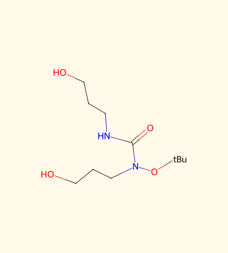 CC(C)(C)ON(CCCO)C(=O)NCCCO